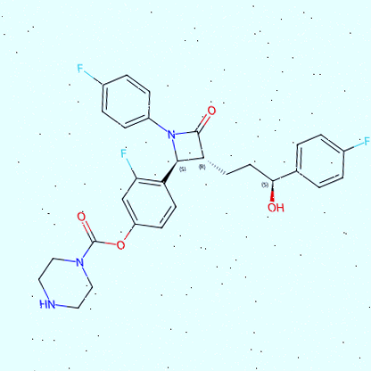 O=C(Oc1ccc([C@@H]2[C@@H](CC[C@H](O)c3ccc(F)cc3)C(=O)N2c2ccc(F)cc2)c(F)c1)N1CCNCC1